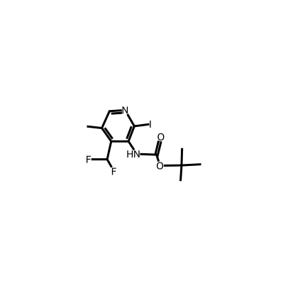 Cc1cnc(I)c(NC(=O)OC(C)(C)C)c1C(F)F